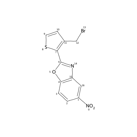 O=[N+]([O-])c1ccc2oc(-c3sccc3CBr)nc2c1